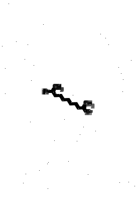 C=C(CCCCCCCC(=C)C(C)C)C(C)C